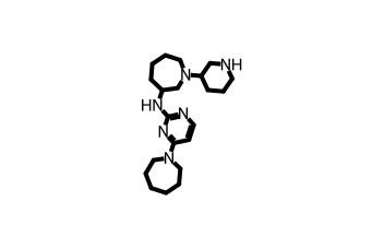 c1cc(N2CCCCCC2)nc(NC2CCCCN(C3CCCNC3)C2)n1